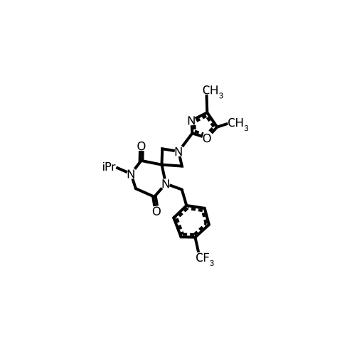 Cc1nc(N2CC3(C2)C(=O)N(C(C)C)CC(=O)N3Cc2ccc(C(F)(F)F)cc2)oc1C